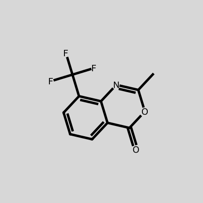 Cc1nc2c(C(F)(F)F)cccc2c(=O)o1